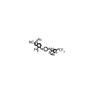 CC(=O)Cn1c(C#N)cc2c(C(F)F)c(CN3CCC(Nc4ncnc5sc(CC(F)(F)F)cc45)CC3)ccc21